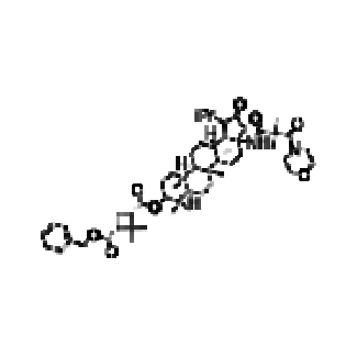 CC(C)C1=C2[C@H]3CC[C@@H]4[C@@]5(C)CC[C@H](OC(=O)[C@H]6C[C@@H](C(=O)OCc7ccccc7)C6(C)C)C(C)(C)[C@@H]5CC[C@@]4(C)[C@]3(C)CC[C@@]2(NC(=O)C(C)(C)C(=O)N2CCOCC2)CC1=O